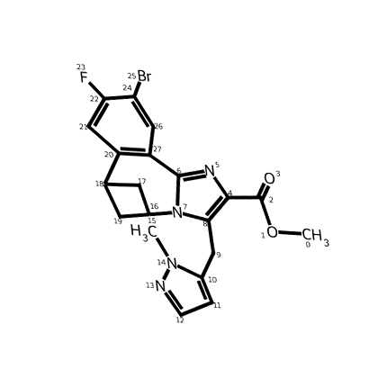 COC(=O)c1nc2n(c1Cc1ccnn1C)C1CC(C1)c1cc(F)c(Br)cc1-2